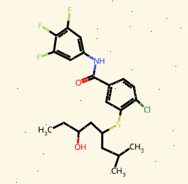 CCC(O)CC(CC(C)C)Sc1cc(C(=O)Nc2cc(F)c(F)c(F)c2)ccc1Cl